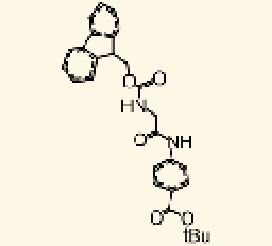 CC(C)(C)OC(=O)c1ccc(NC(=O)CNC(=O)OCC2c3ccccc3-c3ccccc32)cc1